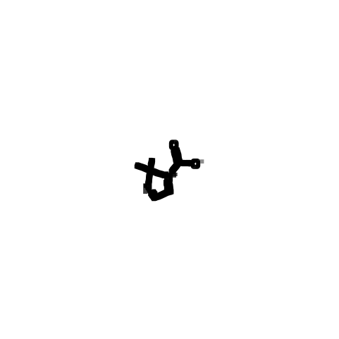 CC1(C)N=CC=[N+]1C(=O)[O-]